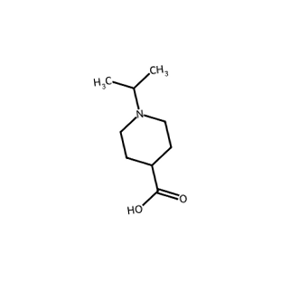 CC(C)N1CCC(C(=O)O)CC1